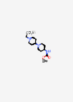 CCOC(=O)CN1CCC(N2CCC(NC(=O)OC(C)(C)C)CC2)CC1